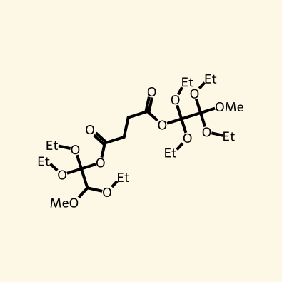 CCOC(OC)C(OCC)(OCC)OC(=O)CCC(=O)OC(OCC)(OCC)C(OC)(OCC)OCC